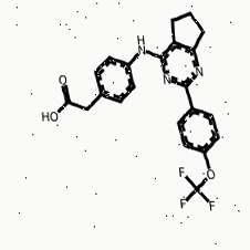 O=C(O)Cc1ccc(Nc2nc(-c3ccc(OC(F)(F)F)cc3)nc3c2CCC3)cc1